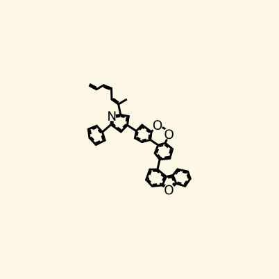 C=C/C=C\C=C(/C)c1cc(-c2ccc3c(c2)OCOc2ccc(-c4cccc5oc6ccccc6c45)cc2-3)cc(-c2ccccc2)n1